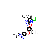 COc1cc2ncnc(Oc3ccc(Oc4ccc5c(c4)ncn5C)c(C)c3)c2nc1Cl